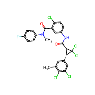 Cc1cc([C@@H]2[C@@H](C(=O)Nc3ccc(Cl)c(C(=O)N(C)c4ccc(F)cc4)c3)C2(Cl)Cl)cc(Cl)c1Cl